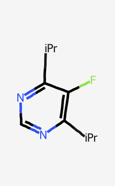 CC(C)c1ncnc(C(C)C)c1F